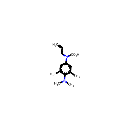 C=CCN(C(=O)O)c1cc(C)c(N(C)C)c(C)c1